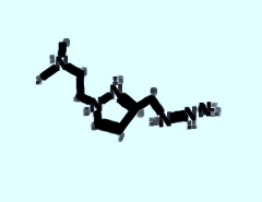 CN(C)CCn1ccc(CN=[N+]=[N-])n1